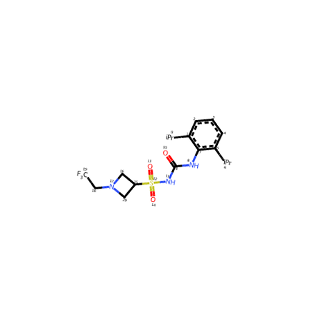 CC(C)c1cccc(C(C)C)c1NC(=O)NS(=O)(=O)C1CN(CC(F)(F)F)C1